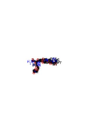 CC[C@H](C)[C@@H]([C@@H](CC(=O)N1CCC[C@H]1[C@H](OC)[C@@H](C)C(=O)NS(=O)(=O)Cc1ccc(NC(=O)[C@H](CCCNC(N)=O)NC(=O)[C@@H](NC(=O)CC(C)(C)COCC(C)(C)CN2C(=O)C=CC2=O)C(C)C)cc1)OC)N(C)C(=O)[C@@H](NC(=O)[C@H](C(C)C)N(C)C)C(C)C